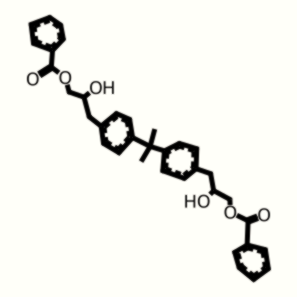 CC(C)(c1ccc(CC(O)COC(=O)c2ccccc2)cc1)c1ccc(CC(O)COC(=O)c2ccccc2)cc1